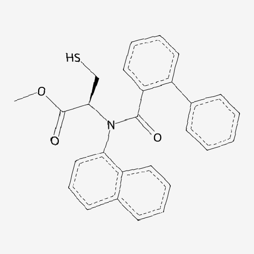 COC(=O)[C@@H](CS)N(C(=O)c1ccccc1-c1ccccc1)c1cccc2ccccc12